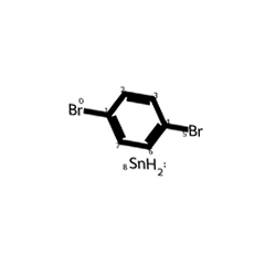 Brc1ccc(Br)cc1.[SnH2]